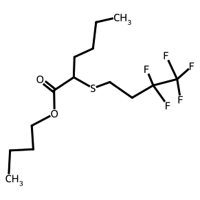 CCCCOC(=O)C(CCCC)SCCC(F)(F)C(F)(F)F